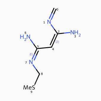 C=N/C(N)=C\C(N)=N/CSC